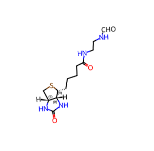 O=CNCCNC(=O)CCCC[C@H]1SC[C@H]2NC(=O)N[C@H]21